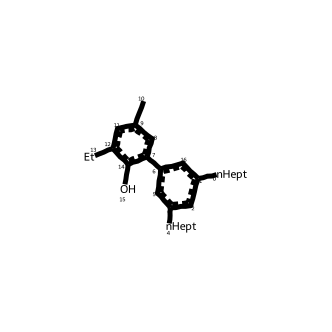 CCCCCCCc1cc(CCCCCCC)cc(-c2cc(C)cc(CC)c2O)c1